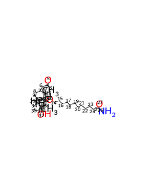 C[C@]12CCC(=O)CC1CC[C@@H]1[C@H]2C(OCCCCCCCCCCCC(N)=O)C[C@]2(C)C(O)CC[C@@H]12